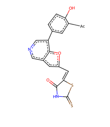 CC(=O)c1cc(-c2cncc3cc(C=C4SC(=S)NC4=O)oc23)ccc1O